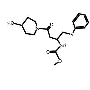 COC(=O)NC(CSc1ccccc1)CC(=O)N1CCC(O)CC1